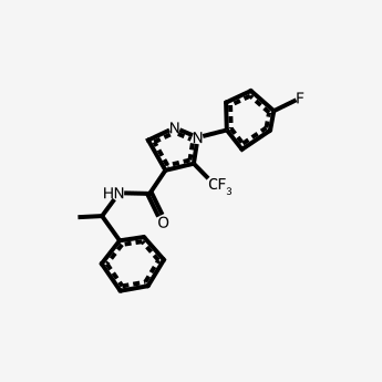 CC(NC(=O)c1cnn(-c2ccc(F)cc2)c1C(F)(F)F)c1ccccc1